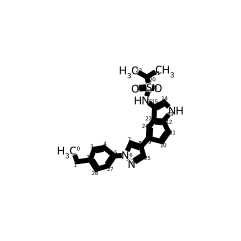 CCc1ccc(-n2cc(-c3ccc4[nH]cc(NS(=O)(=O)C(C)C)c4c3)cn2)cc1